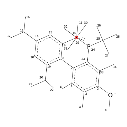 COc1c(C)c(C)c(-c2c(C(C)C)cc(C(C)C)cc2C(C)C)c(P(C(C)(C)C)C(C)(C)C)c1C